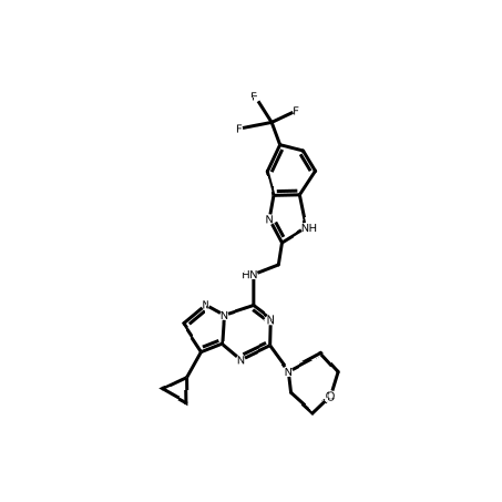 FC(F)(F)c1ccc2[nH]c(CNc3nc(N4CCOCC4)nc4c(C5CC5)cnn34)nc2c1